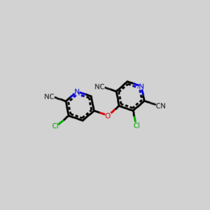 N#Cc1cnc(C#N)c(Cl)c1Oc1cnc(C#N)c(Cl)c1